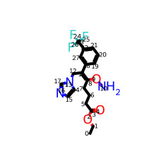 CCOC(=O)CCCC(ON)=C(Cn1ccnc1)c1cccc(C(F)(F)F)c1